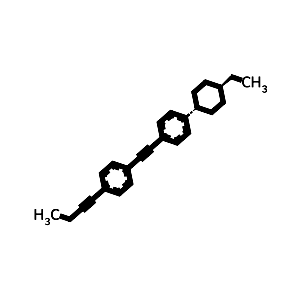 CCC#Cc1ccc(C#Cc2ccc([C@H]3CC[C@H](CC)CC3)cc2)cc1